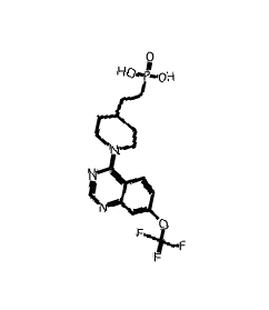 O=P(O)(O)CCC1CCN(c2ncnc3cc(OC(F)(F)F)ccc23)CC1